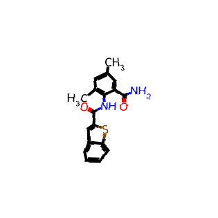 Cc1cc(C)c(NC(=O)c2cc3ccccc3s2)c(C(N)=O)c1